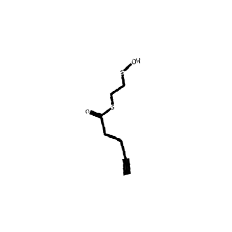 C#CCCC(=O)SCCSO